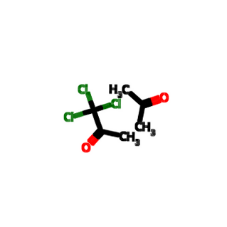 CC(=O)C(Cl)(Cl)Cl.CC(C)=O